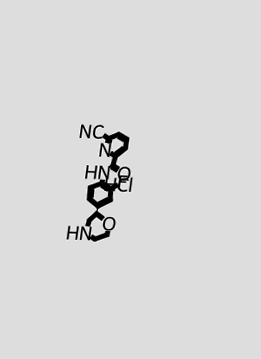 Cl.N#Cc1cccc(C(=O)Nc2ccc([C@H]3CNCCO3)cc2F)n1